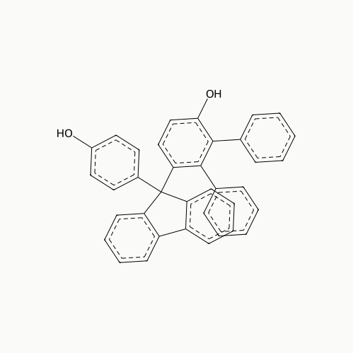 Oc1ccc(C2(c3ccc(O)c(-c4ccccc4)c3-c3ccccc3)c3ccccc3-c3ccccc32)cc1